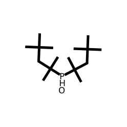 CC(C)(C)CC(C)(C)[PH](=O)C(C)(C)CC(C)(C)C